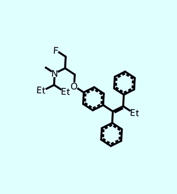 CC/C(=C(\c1ccccc1)c1ccc(OCC(CF)N(C)C(CC)CC)cc1)c1ccccc1